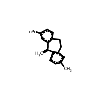 C=C1c2ccc(C)cc2CCc2ccc(CCC)cc21